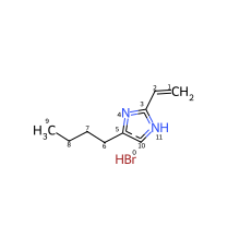 Br.C=Cc1nc(CCCC)c[nH]1